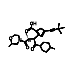 CC1CCC(C(=O)C(C2=C(C(=O)O)CC(C#CC(C)(C)C)=C2)[C@@H](C)C(=O)N2CCOC(C)C2)CC1